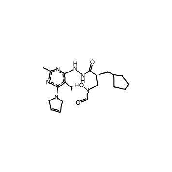 Cc1nc(NNC(=O)[C@@H](CC2CCCC2)CN(O)C=O)c(F)c(N2CC=CC2)n1